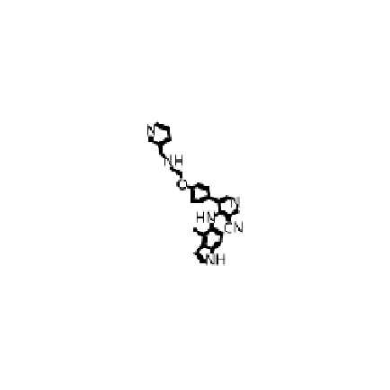 Cc1c(Nc2c(C#N)cncc2-c2ccc(OCCNCc3cccnc3)cc2)ccc2[nH]ccc12